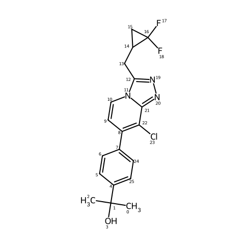 CC(C)(O)c1ccc(-c2ccn3c(CC4CC4(F)F)nnc3c2Cl)cc1